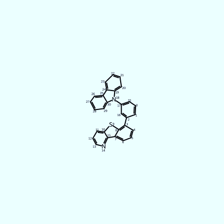 c1cc(-c2cccc3c2sc2cccnc23)cc(-n2c3ccccc3c3ccccc32)c1